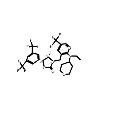 CCN(c1ncc(C(F)(F)F)cc1CN1C(=O)O[C@H](c2cc(C(F)(F)F)cc(C(F)(F)F)c2)[C@@H]1C)C1CCOCC1